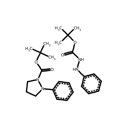 CC(C)(C)OC(=O)N1CCCN1c1ccccc1.CC(C)(C)OC(=O)NNc1ccccc1